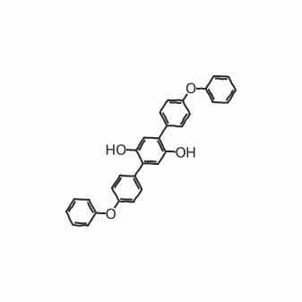 Oc1cc(-c2ccc(Oc3ccccc3)cc2)c(O)cc1-c1ccc(Oc2ccccc2)cc1